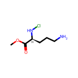 COC(=O)[C@H](CCCN)NCl